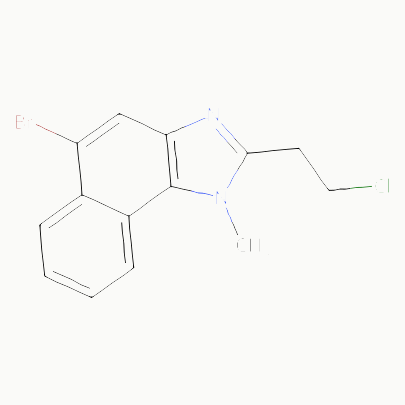 Cn1c(CCCl)nc2cc(Br)c3ccccc3c21